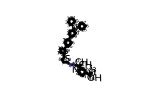 CC1(C)C(/C=C/c2ccc(-c3ccc(-c4ccc(-c5ccc(N(c6ccccc6)c6ccccc6)cc5)cc4)s3)s2)=Nc2ccc(C(=O)O)cc21